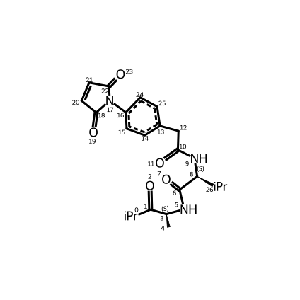 CC(C)C(=O)[C@H](C)NC(=O)[C@@H](NC(=O)Cc1ccc(N2C(=O)C=CC2=O)cc1)C(C)C